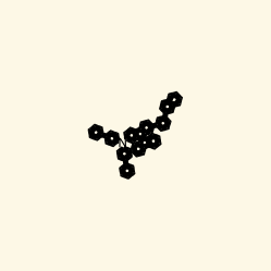 c1ccc(-c2ccc(N(c3ccc(-c4ccccc4)cc3)c3ccc4c(c3)C3(c5ccccc5-c5ccccc53)c3cc(-c5cccc(-c6ccc7ccccc7c6)c5)ccc3-4)cc2)cc1